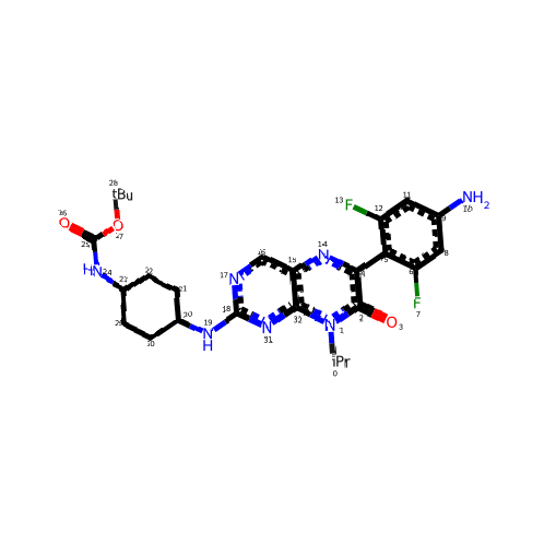 CC(C)n1c(=O)c(-c2c(F)cc(N)cc2F)nc2cnc(NC3CCC(NC(=O)OC(C)(C)C)CC3)nc21